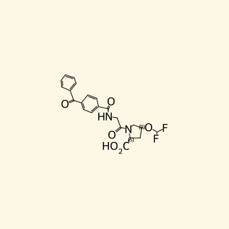 O=C(NCC(=O)N1C[C@H](OC(F)F)C[C@H]1C(=O)O)c1ccc(C(=O)c2ccccc2)cc1